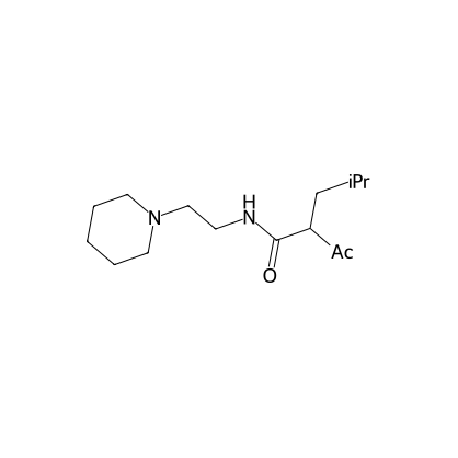 CC(=O)C(CC(C)C)C(=O)NCCN1CCCCC1